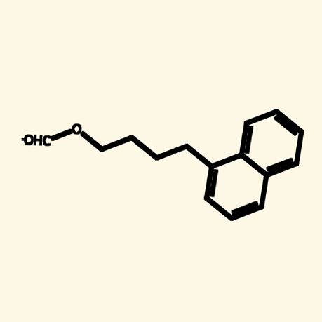 O=[C]OCCCCc1cccc2ccccc12